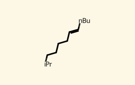 [CH2]C(C)CCCC/C=C/CCCC